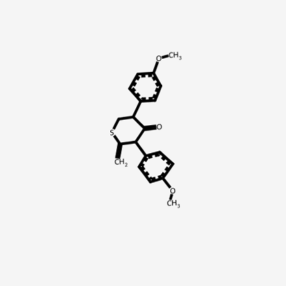 C=C1SCC(c2ccc(OC)cc2)C(=O)C1c1ccc(OC)cc1